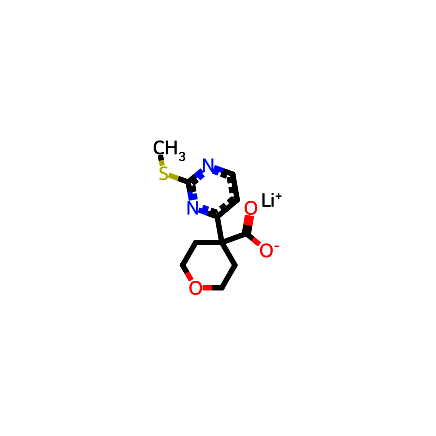 CSc1nccc(C2(C(=O)[O-])CCOCC2)n1.[Li+]